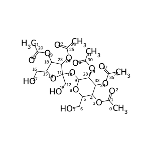 CC(=O)OC1C(CO)OC(OC2(CO)OC(CO)C(OC(C)=O)C2OC(C)=O)[C@@H](OC(C)=O)C1OC(C)=O